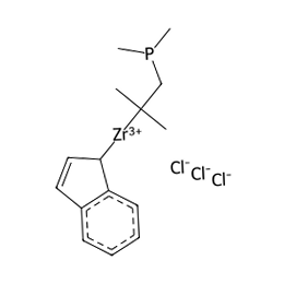 CP(C)C[C](C)(C)[Zr+3][CH]1C=Cc2ccccc21.[Cl-].[Cl-].[Cl-]